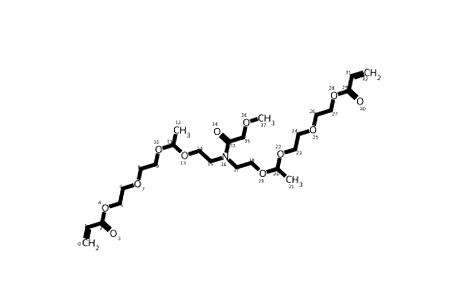 C=CC(=O)OCCOCCOC(C)OCCN(CCOC(C)OCCOCCOC(=O)C=C)C(=O)COC